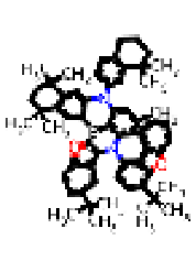 Cc1cc2c3c(c1)N(c1ccc(C(C)(C)C)c4oc5ccccc5c14)c1c(oc4ccc(C(C)(C)C)cc14)B3c1cc3c(cc1N2c1ccc2c(c1)C(C)(C)CCC2)C(C)(C)CCC3(C)C